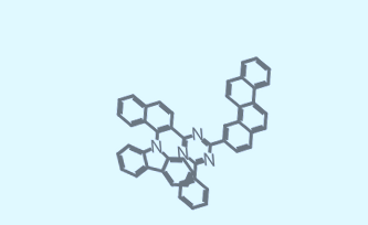 c1ccc(-c2nc(-c3ccc4ccc5c6ccccc6ccc5c4c3)nc(-c3ccc4ccccc4c3-n3c4ccccc4c4ccccc43)n2)cc1